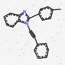 Cc1ccc(-c2nc3ccccc3n2C#Cc2ccccc2)cc1